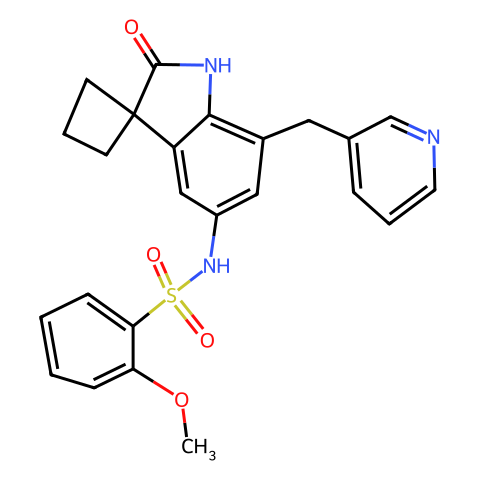 COc1ccccc1S(=O)(=O)Nc1cc(Cc2cccnc2)c2c(c1)C1(CCC1)C(=O)N2